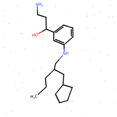 CCCC(CNc1cccc(C(O)CCN)c1)CC1CCCC1